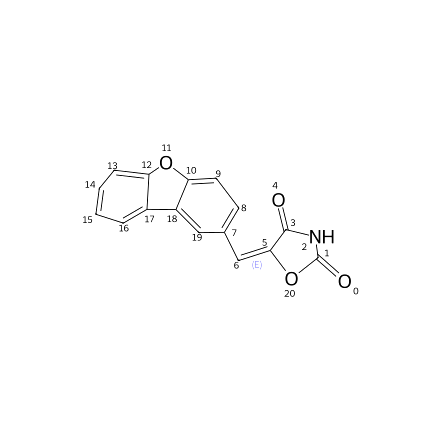 O=C1NC(=O)/C(=C\c2ccc3oc4ccccc4c3c2)O1